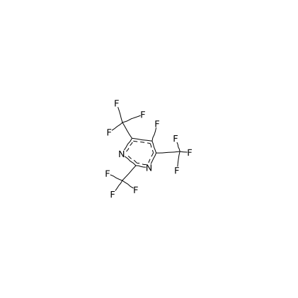 Fc1c(C(F)(F)F)nc(C(F)(F)F)nc1C(F)(F)F